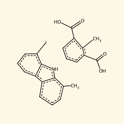 Cc1c(C(=O)O)cccc1C(=O)O.Cc1cccc2c1[nH]c1c(I)cccc12